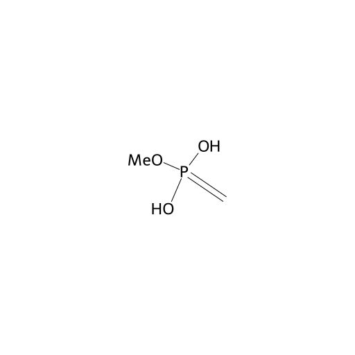 C=P(O)(O)OC